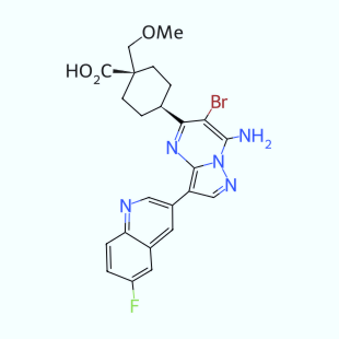 COC[C@]1(C(=O)O)CC[C@@H](c2nc3c(-c4cnc5ccc(F)cc5c4)cnn3c(N)c2Br)CC1